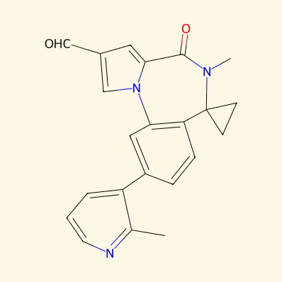 Cc1ncccc1-c1ccc2c(c1)-n1cc(C=O)cc1C(=O)N(C)C21CC1